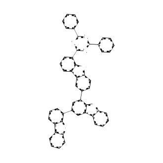 c1ccc(-c2nc(-c3ccccc3)nc(-c3cccc4c3oc3ccc(-c5cc(-c6cccc7c6oc6ccccc67)cc6c5sc5ccccc56)cc34)n2)cc1